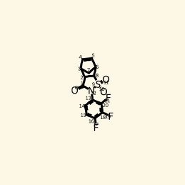 O=C1C2C3C=CC(C3)C2S(=O)(=O)N1c1ccc(F)c(F)c1F